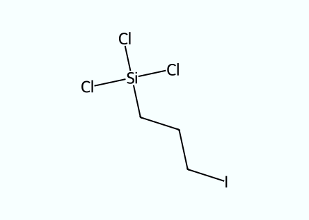 Cl[Si](Cl)(Cl)CCCI